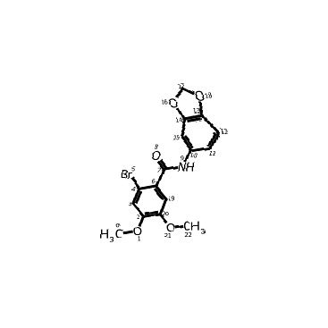 COc1cc(Br)c(C(=O)Nc2ccc3c(c2)OCO3)cc1OC